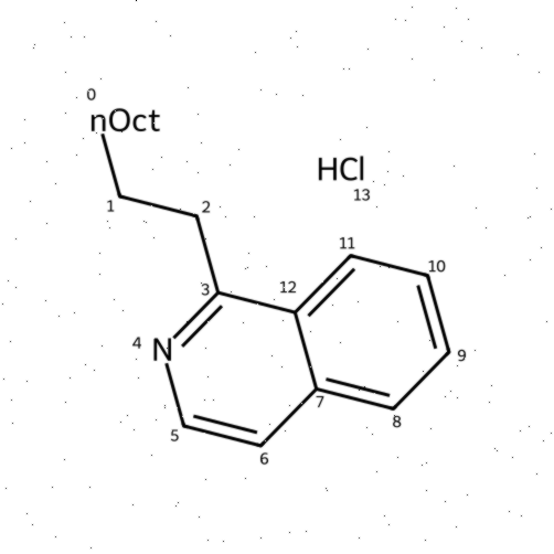 CCCCCCCCCCc1nccc2ccccc12.Cl